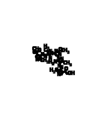 COC(=O)c1cnn(C)c1/N=N/c1c(C)nn(-c2cc(-n3nc(C)c(/N=N/c4c(C(=O)CO)cnn4C)c3N)nc(OC)n2)c1N